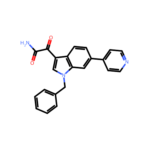 NC(=O)C(=O)c1cn(Cc2ccccc2)c2cc(-c3ccncc3)ccc12